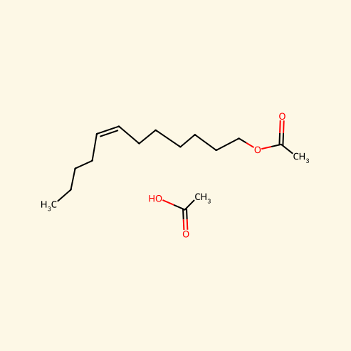 CC(=O)O.CCCC/C=C\CCCCCCOC(C)=O